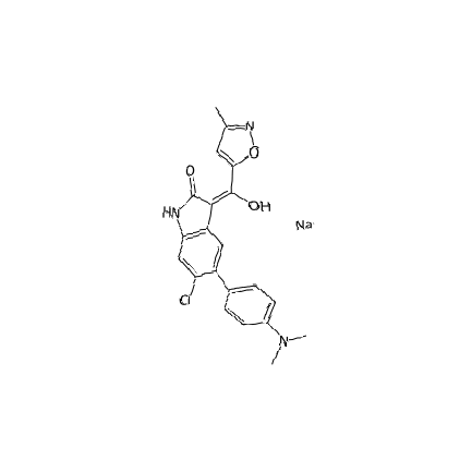 Cc1cc(C(O)=C2C(=O)Nc3cc(Cl)c(-c4ccc(N(C)C)cc4)cc32)on1.[Na]